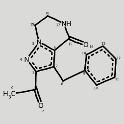 CC(=O)c1nn2c(c1Cc1ccccc1)C(=O)NCC2